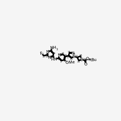 COc1cc(Nc2cc(N)nc(CF)n2)ncc1-c1cnn(C2CN(C(=O)OC(C)(C)C)C2)c1